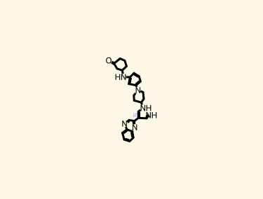 N=C/C(=C\NC1CCN(c2cccc(NC3CCCC(=O)C3)c2)CC1)c1cnc2ccccc2n1